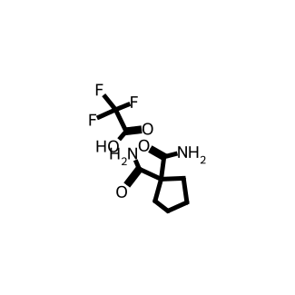 NC(=O)C1(C(N)=O)CCCC1.O=C(O)C(F)(F)F